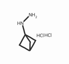 Cl.Cl.NNC12CC(C1)C2